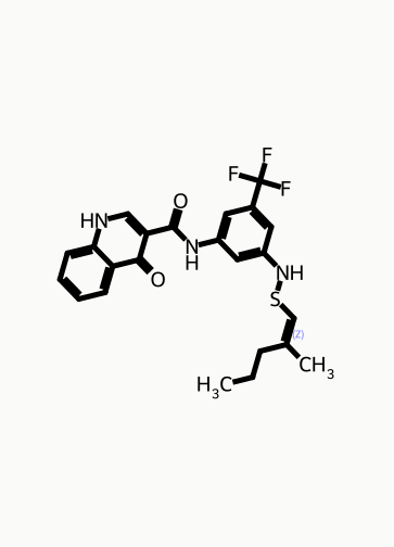 CCC/C(C)=C\SNc1cc(NC(=O)c2c[nH]c3ccccc3c2=O)cc(C(F)(F)F)c1